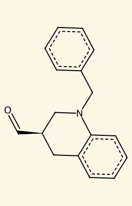 O=C[C@@H]1Cc2ccccc2N(Cc2ccccc2)C1